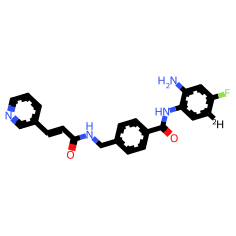 [2H]c1cc(NC(=O)c2ccc(CNC(=O)/C=C/c3cccnc3)cc2)c(N)cc1F